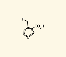 O=C(O)c1cnccc1CF